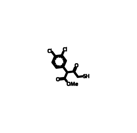 COC(=O)C(C(=O)CS)c1ccc(Cl)c(Cl)c1